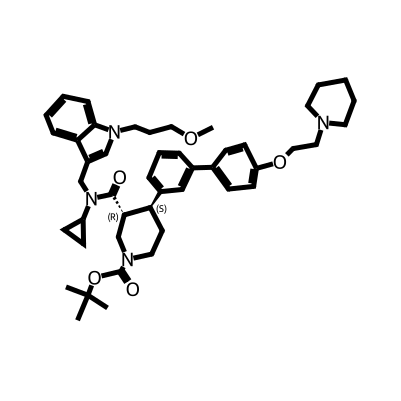 COCCCn1cc(CN(C(=O)[C@H]2CN(C(=O)OC(C)(C)C)CC[C@@H]2c2cccc(-c3ccc(OCCN4CCCCC4)cc3)c2)C2CC2)c2ccccc21